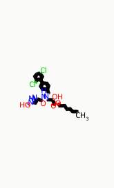 CCCCCCCOC(=O)C(O)CN(Cc1ccc(-c2cc(Cl)ccc2Cl)cc1)NC(=O)c1cn(O)nn1